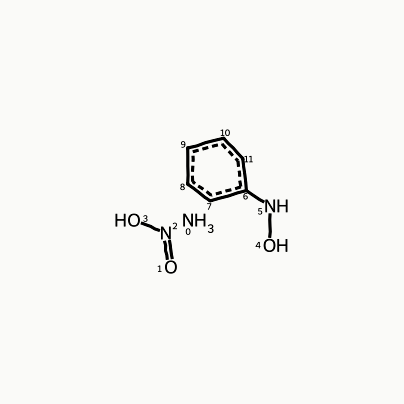 N.O=NO.ONc1ccccc1